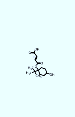 CC(C)(C)C1(OC(=O)/C=C/C(=O)O)CCC(O)CC1